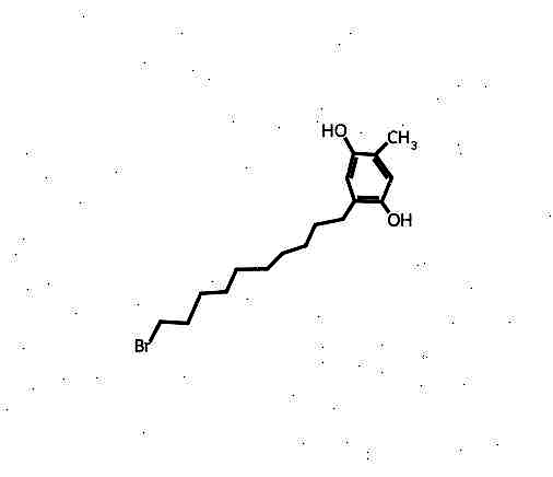 Cc1cc(O)c(CCCCCCCCCCBr)cc1O